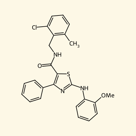 COc1ccccc1Nc1nc(-c2ccccc2)c(C(=O)NCc2c(C)cccc2Cl)s1